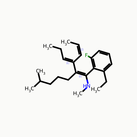 C\C=C/C(=C\CC)C(/CCCC(C)C)=C(/NC)c1c(F)cccc1CC